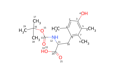 Cc1cc(O)c(C)c(C)c1CC(NC(=O)OC(C)(C)C)C(=O)O